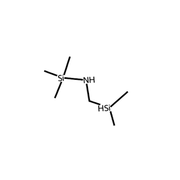 C[SiH](C)CN[Si](C)(C)C